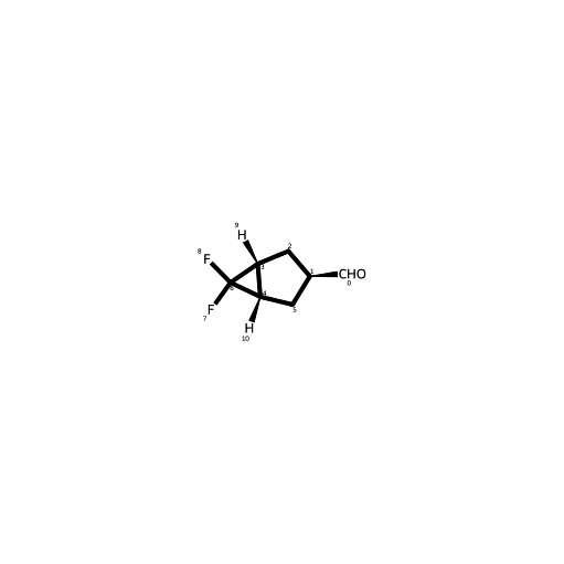 O=C[C@@H]1C[C@@H]2[C@H](C1)C2(F)F